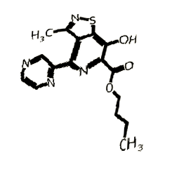 CCCCOC(=O)c1nc(-c2cnccn2)c2c(C)nsc2c1O